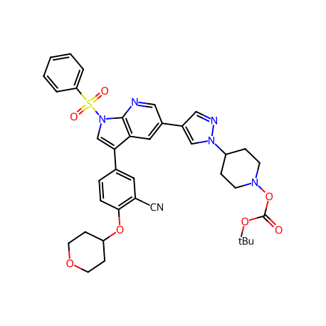 CC(C)(C)OC(=O)ON1CCC(n2cc(-c3cnc4c(c3)c(-c3ccc(OC5CCOCC5)c(C#N)c3)cn4S(=O)(=O)c3ccccc3)cn2)CC1